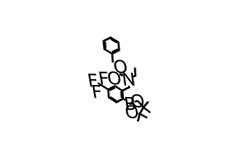 CCN(Cc1cc(C(F)(F)F)ccc1B1OC(C)(C)C(C)(C)O1)C(=O)OCc1ccccc1